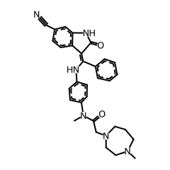 CN1CCCN(CC(=O)N(C)c2ccc(NC(=C3C(=O)Nc4cc(C#N)ccc43)c3ccccc3)cc2)CC1